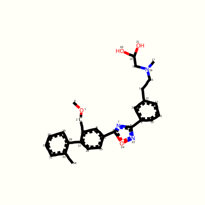 COCc1cc(-c2nc(-c3cccc(CCN(C)CC(O)O)c3)no2)ccc1-c1ccccc1C